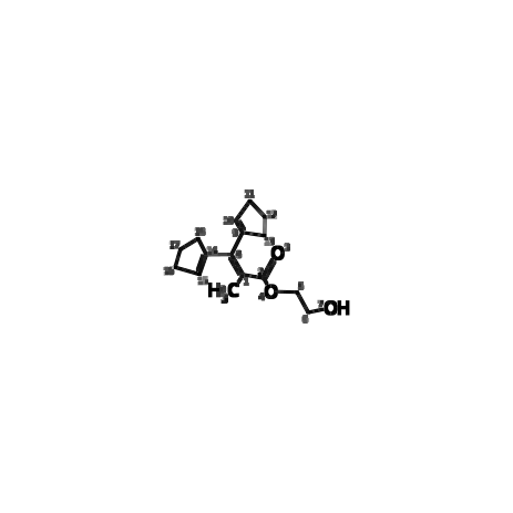 CC(C(=O)OCCO)=C(C1=CCCC1)C1=CCCC1